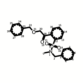 CN(Cc1ccccc1)S(=O)(=O)c1ccccc1C(=O)COCc1ccccc1